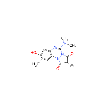 CCCC1C(=O)N2C(N(C)C)=Nc3cc(O)c(C)cc3N2C1=O